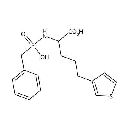 O=C(O)C(CCCc1ccsc1)NP(=O)(O)Cc1ccccc1